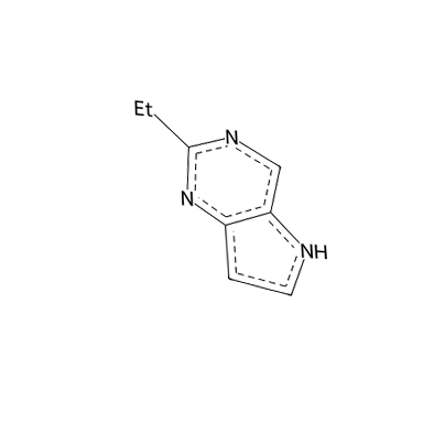 CCc1ncc2[nH]ccc2n1